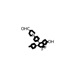 Cc1ccc([C@@H]2CC(F)(F)c3cc(O)ccc3[C@@H]2c2ccc(N3CCC(C=O)CC3)cc2)cc1